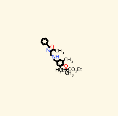 CCOC(=O)C(C)(C)Oc1c(C)cc(CNCc2nc(-c3ccccc3)oc2C)cc1C